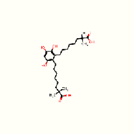 CC(C)(CCCCCCc1c(O)cc(O)c(O)c1CCCCCCC(C)(C)C(=O)O)C(=O)O